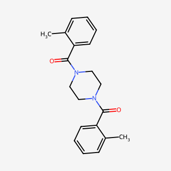 Cc1ccccc1C(=O)N1CCN(C(=O)c2ccccc2C)CC1